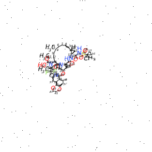 CC[C@@H]1C[C@H](C)CC/C=C\[C@@H]2C[C@@]2(C(=O)NS(=O)(=O)C2(C)CC2)NC(=O)[C@@H]2C[C@@H](Oc3nccc4c5c(ccc34)OCCO5)CN2C(=O)[C@H]1N(C(=O)O)C(C)(C)C(C)(F)F